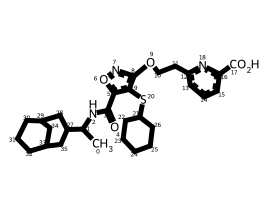 CC(NC(=O)c1onc(OCCc2cccc(C(=O)O)n2)c1SC1CCCCC1)C1CC2CCCC(C2)C1